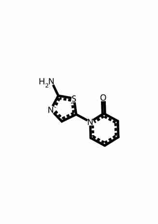 Nc1ncc(-n2ccccc2=O)s1